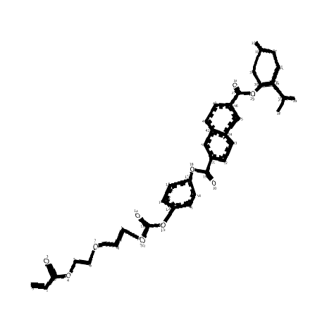 C=CC(=O)OCCOCCOC(=O)Oc1ccc(OC(=O)c2ccc3cc(C(=O)OC4CC(C)CCC4C(C)C)ccc3c2)cc1